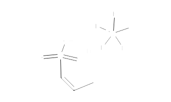 C/C=C\S(=O)(=O)O.F[As](F)(F)(F)F.[LiH]